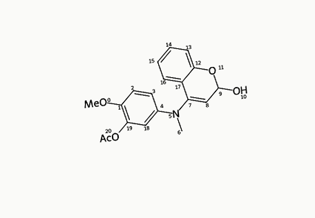 COc1ccc(N(C)C2=CC(O)Oc3ccccc32)cc1OC(C)=O